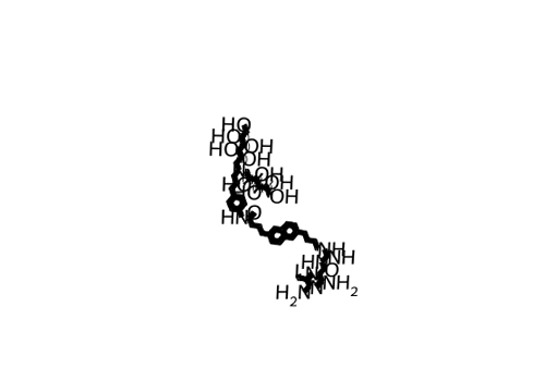 N=C(NCCCCc1ccc2cc(CCCC(=O)Nc3ccc(CCCN(C[C@H](O)[C@@H](O)[C@H](O)[C@H](O)CO)C[C@H](O)[C@@H](O)[C@H](O)[C@H](O)CO)cc3)ccc2c1)NC(=O)c1nc(CI)c(N)nc1N